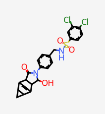 O=C1C2C3C=CC(C4CC34)C2C(O)N1c1ccc(CNS(=O)(=O)c2ccc(Cl)c(Cl)c2)cc1